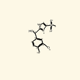 CS(=O)(=O)c1c[nH]c(C(O)c2ccc(F)c(Cl)c2)n1